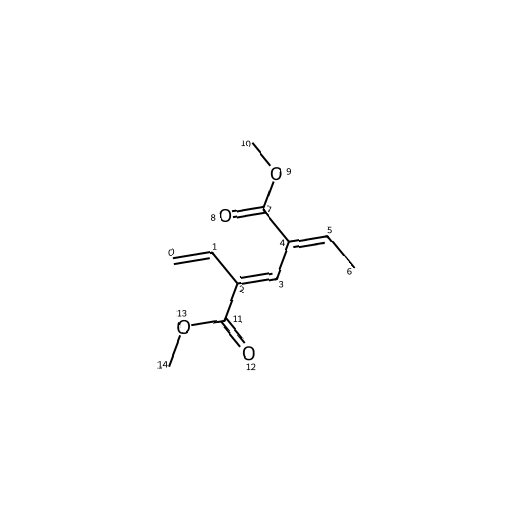 C=C/C(=C\C(=C/C)C(=O)OC)C(=O)OC